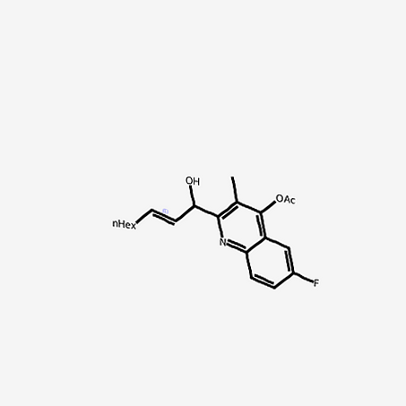 CCCCCC/C=C/C(O)c1nc2ccc(F)cc2c(OC(C)=O)c1C